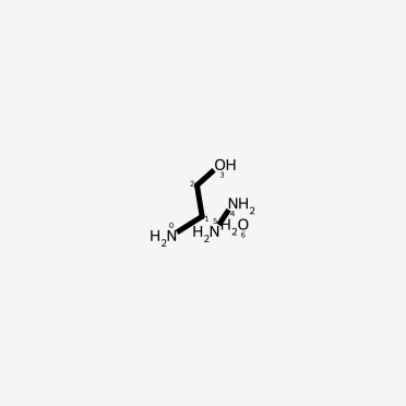 NCCO.NN.O